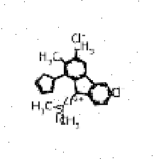 Cc1cc2c(c(C3=CC=CC3)c1C)[CH]([Zr+2][SiH](C)C)c1ccccc1-2.[Cl-].[Cl-]